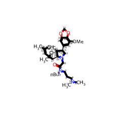 CCCCN(CCCN(C)C)C(=O)CN1C[C@H](c2cc(OC)c3c(c2)OCO3)[C@@H](C(=O)O)[C@@H]1CC(C)(C)C=C(C)C